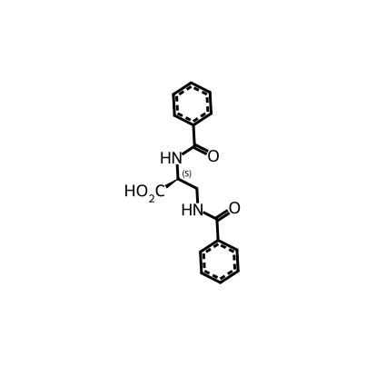 O=C(NC[C@H](NC(=O)c1ccccc1)C(=O)O)c1ccccc1